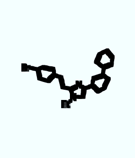 CCn1cc(-c2cccc(-c3ccccc3)c2)nc1C=Cc1ccc(Br)cc1